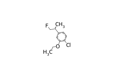 CCOc1cc([C](C)CF)ccc1Cl